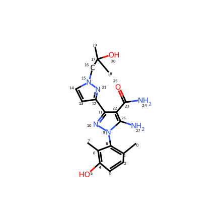 Cc1ccc(O)c(C)c1-n1nc(-c2ccn(CC(C)(C)O)n2)c(C(N)=O)c1N